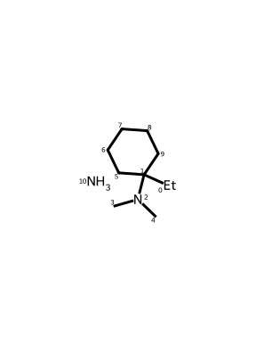 CCC1(N(C)C)CCCCC1.N